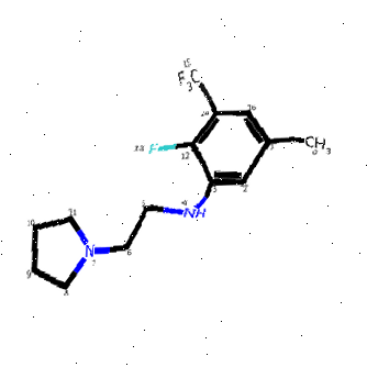 Cc1cc(NCCN2CCCC2)c(F)c(C(F)(F)F)c1